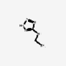 BCNc1nn[nH]n1